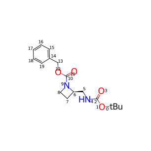 CC(C)(C)OC(=O)NC[C@H]1CCN1C(=O)OCc1ccccc1